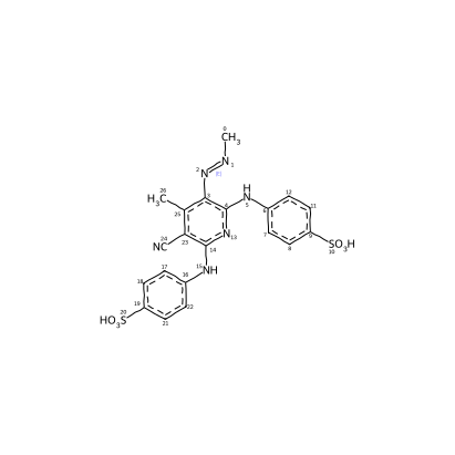 C/N=N/c1c(Nc2ccc(S(=O)(=O)O)cc2)nc(Nc2ccc(S(=O)(=O)O)cc2)c(C#N)c1C